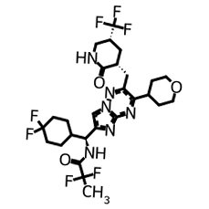 CC(F)(F)C(=O)N[C@H](c1cn2nc(C[C@H]3C[C@@H](C(F)(F)F)CNC3=O)c(C3CCOCC3)nc2n1)C1CCC(F)(F)CC1